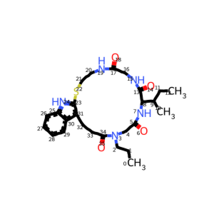 CCCN1CC(=O)NC(C(C)CC)C(=O)NCC(=O)NCCSc2[nH]c3ccccc3c2CCC1=O